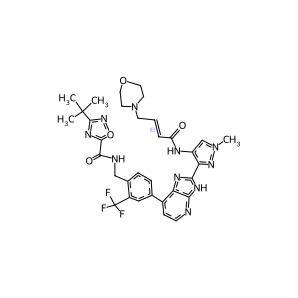 Cn1cc(NC(=O)/C=C/CN2CCOCC2)c(-c2nc3c(-c4ccc(CNC(=O)c5nc(C(C)(C)C)no5)c(C(F)(F)F)c4)ccnc3[nH]2)n1